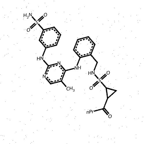 CCCC(=O)C1CC1S(=O)(=O)NCc1ccccc1Nc1nc(Nc2cccc(S(N)(=O)=O)c2)ncc1C